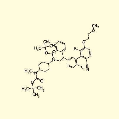 COCCOc1ccc(C#N)c(-c2cc(C(CN(C(=O)OC(C)(C)C)C3CCC(N(C)C(=O)OC(C)(C)C)CC3)c3ccccc3)ccc2Cl)c1F